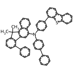 CC1(C)c2cccc(-c3ccccc3)c2-c2cc(N(c3ccc(-c4ccccc4)cc3)c3ccc(-c4cccc5c4sc4ccccc45)cc3)c3ccccc3c21